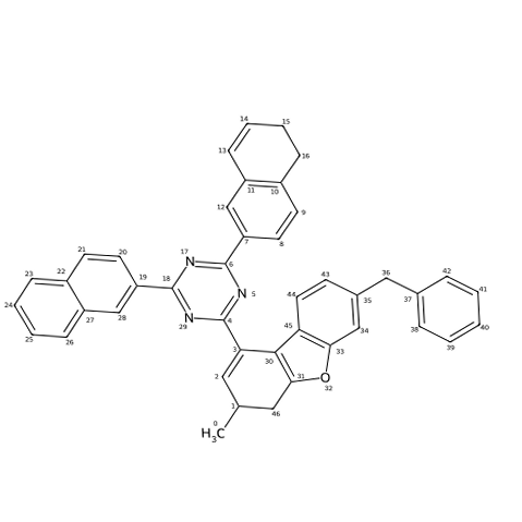 CC1C=C(c2nc(-c3ccc4c(c3)C=CCC4)nc(-c3ccc4ccccc4c3)n2)c2c(oc3cc(Cc4ccccc4)ccc23)C1